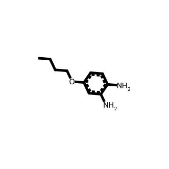 CCCCOc1ccc(N)c(N)c1